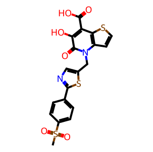 CS(=O)(=O)c1ccc(-c2ncc(Cn3c(=O)c(O)c(C(=O)O)c4sccc43)s2)cc1